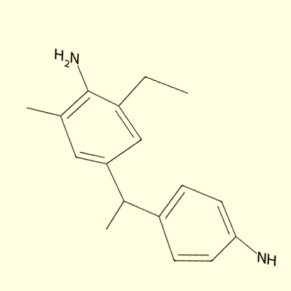 CCc1cc(C(C)c2ccc(N)cc2)cc(C)c1N